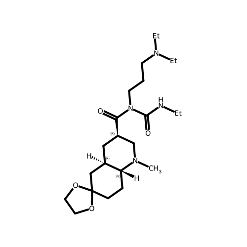 CCNC(=O)N(CCCN(CC)CC)C(=O)[C@@H]1C[C@@H]2CC3(CC[C@H]2N(C)C1)OCCO3